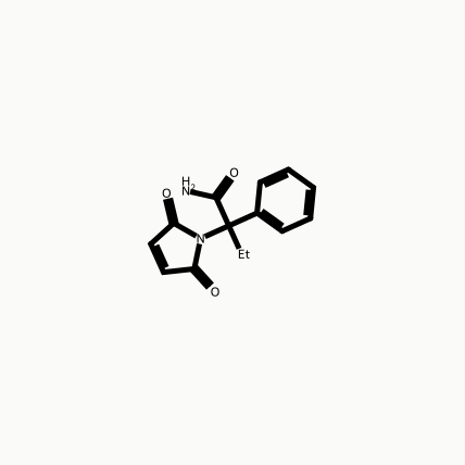 CCC(C(N)=O)(c1ccccc1)N1C(=O)C=CC1=O